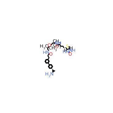 CC(C)(CCOC(C)(C)CCNC(=O)CCc1cccc(-c2ccc([C@@H]3C[C@H]3N)cc2)c1)NC(=O)CCCC[C@@H]1SC[C@@H]2NC(=O)N[C@@H]21